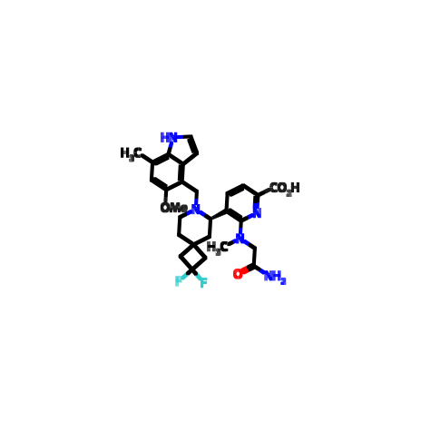 COc1cc(C)c2[nH]ccc2c1CN1CCC2(C[C@@H]1c1ccc(C(=O)O)nc1N(C)CC(N)=O)CC(F)(F)C2